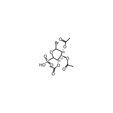 CC(=O)O[C@H]1[C@H](OC(C)=O)C(S(=O)(=O)O)OC(Br)[C@@H]1OC(C)=O